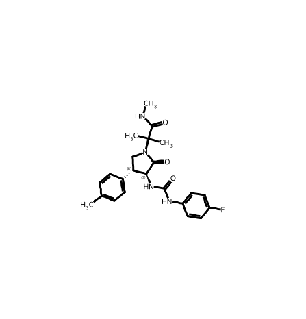 CNC(=O)C(C)(C)N1C[C@@H](c2ccc(C)cc2)[C@H](NC(=O)Nc2ccc(F)cc2)C1=O